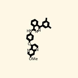 COc1cnc2c(Oc3ccc(Nc4nnc(-c5cc(C)cc(C)c5)c5ccccc45)cc3)ccnc2c1